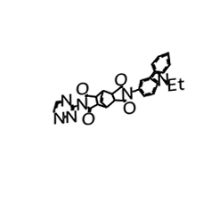 CCn1c2ccccc2c2cc(N3C(=O)C4C5C=CC(C4C3=O)C3C(=O)N(c4nccnn4)C(=O)C53)ccc21